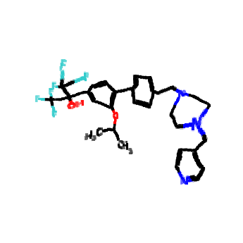 CC(C)Oc1cc(C(O)(C(F)(F)F)C(F)(F)F)ccc1-c1ccc(CN2CCN(Cc3ccncc3)CC2)cc1